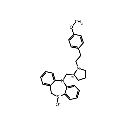 COc1ccc(CCN2CCC[C@H]2CN2c3ccccc3C[S+]([O-])c3ccccc32)cc1